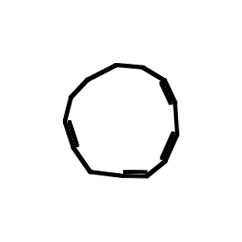 C1=CC=CCCCCC=CCC=C1